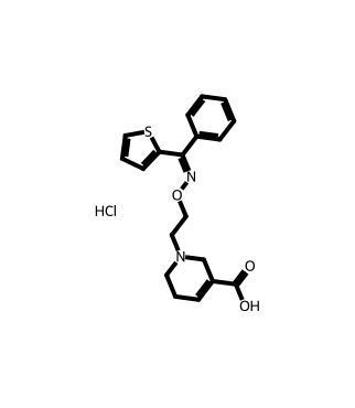 Cl.O=C(O)C1=CCCN(CCON=C(c2ccccc2)c2cccs2)C1